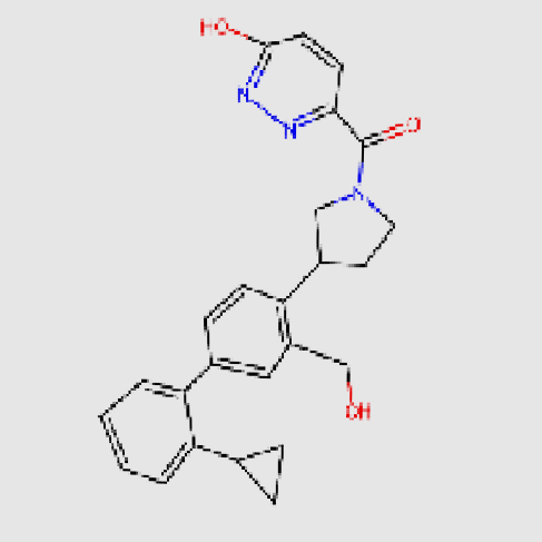 O=C(c1ccc(O)nn1)N1CCC(c2ccc(-c3ccccc3C3CC3)cc2CO)C1